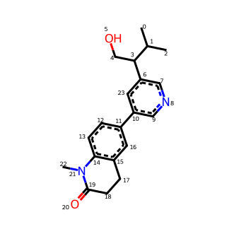 CC(C)C(CO)c1cncc(-c2ccc3c(c2)CCC(=O)N3C)c1